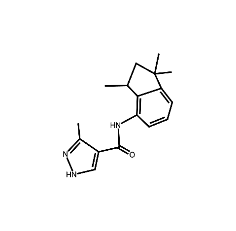 Cc1n[nH]cc1C(=O)Nc1cccc2c1C(C)CC2(C)C